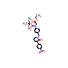 CCOC(=O)CN(C(=O)OC(C)(C)C)c1ccc(Cn2cccc(-c3ccc([N+](=O)[O-])cc3)c2=O)cc1